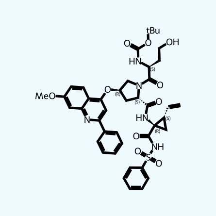 C=C[C@@H]1C[C@]1(NC(=O)[C@@H]1C[C@@H](Oc2cc(-c3ccccc3)nc3cc(OC)ccc23)CN1C(=O)[C@H](CCO)NC(=O)OC(C)(C)C)C(=O)NS(=O)(=O)c1ccccc1